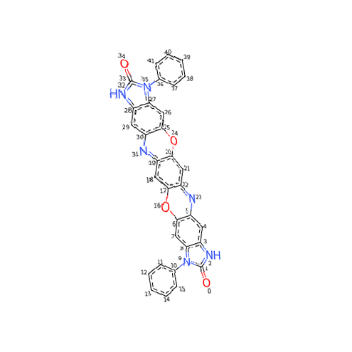 O=c1[nH]c2cc3c(cc2n1-c1ccccc1)Oc1cc2c(cc1=N3)Oc1cc3c(cc1N=2)[nH]c(=O)n3-c1ccccc1